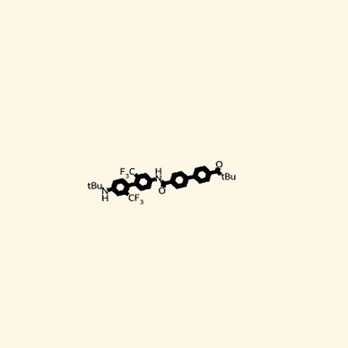 CC(C)(C)Nc1ccc(-c2ccc(NC(=O)c3ccc(-c4ccc(C(=O)C(C)(C)C)cc4)cc3)cc2C(F)(F)F)c(C(F)(F)F)c1